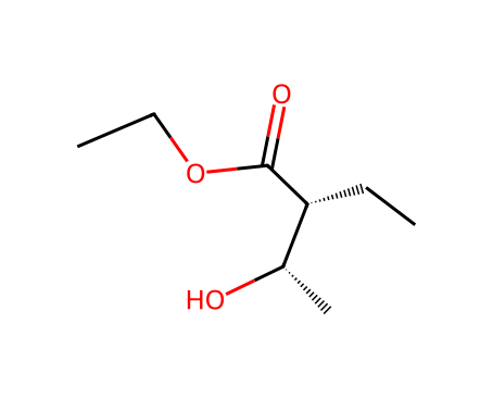 CCOC(=O)[C@H](CC)[C@H](C)O